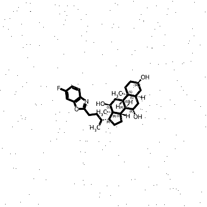 CC(CCc1nc2ccc(F)cc2o1)[C@H]1CC[C@H]2[C@@H]3[C@H](O)C[C@@H]4C[C@H](O)CC[C@]4(C)[C@H]3C[C@H](O)[C@]12C